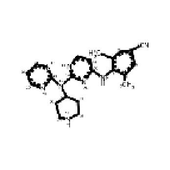 Cc1cc(C#N)cc(C)c1Nc1ccnc(N(c2ncccn2)C2CCNCC2)n1